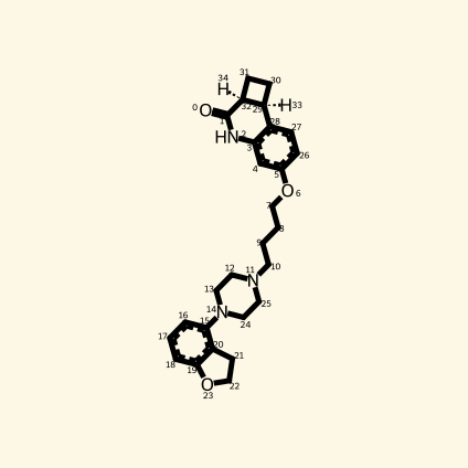 O=C1Nc2cc(OCCCCN3CCN(c4cccc5c4CCO5)CC3)ccc2[C@@H]2CC[C@H]12